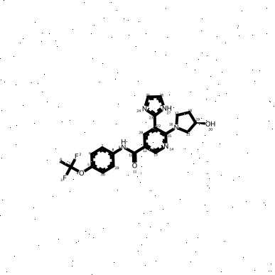 CC(F)(F)Oc1ccc(NC(=O)c2cnc(N3CC[C@@H](O)C3)c(-c3ncc[nH]3)c2)cc1